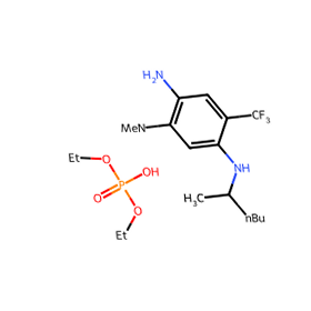 CCCCC(C)Nc1cc(NC)c(N)cc1C(F)(F)F.CCOP(=O)(O)OCC